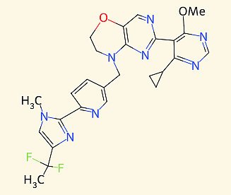 COc1ncnc(C2CC2)c1-c1ncc2c(n1)N(Cc1ccc(-c3nc(C(C)(F)F)cn3C)nc1)CCO2